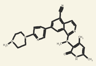 Cc1cc(C)c(N(C)c2nccc3c(C#N)cc(-c4ccc(N5CCN(C)CC5)nc4)cc23)c(=O)[nH]1